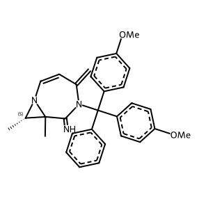 C=C1C=CN2[C@@H](C)C2(C)C(=N)N1C(c1ccccc1)(c1ccc(OC)cc1)c1ccc(OC)cc1